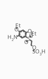 CCOc1cc(OCC)c(S(=O)(=O)CCOS(=O)(=O)O)cc1N